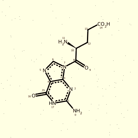 Nc1nc2c(ncn2C(=O)[C@@H](N)CCC(=O)O)c(=O)[nH]1